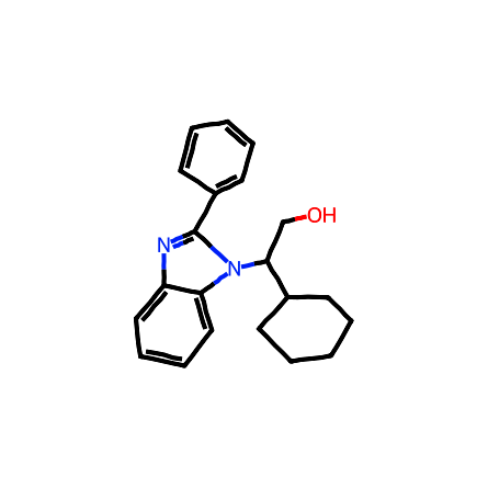 OCC(C1CCCCC1)n1c(-c2ccccc2)nc2ccccc21